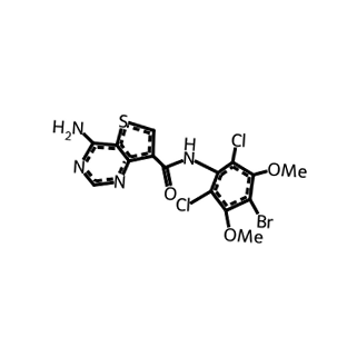 COc1c(Cl)c(NC(=O)c2csc3c(N)ncnc23)c(Cl)c(OC)c1Br